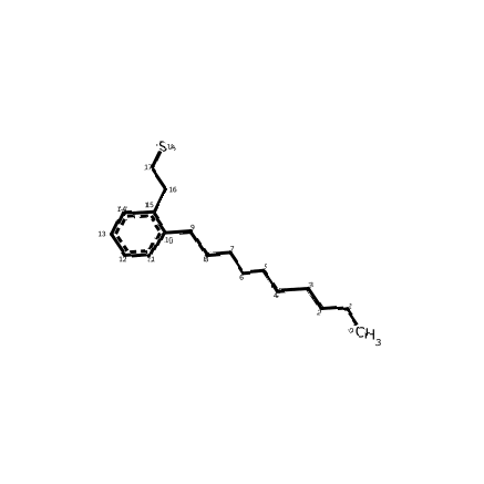 CCCCCCCCCCc1ccccc1CC[S]